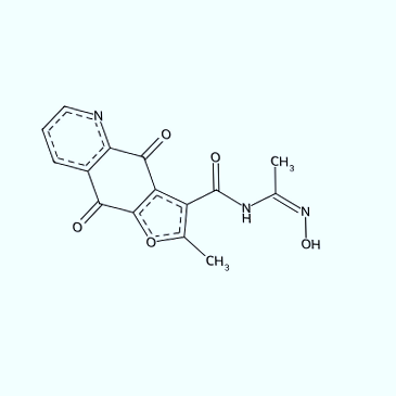 C/C(=N/O)NC(=O)c1c(C)oc2c1C(=O)c1ncccc1C2=O